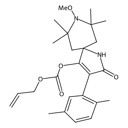 C=CCOC(=O)OC1=C(c2cc(C)ccc2C)C(=O)NC12CC(C)(C)N(OC)C(C)(C)C2